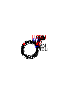 CC(C)(C)C=C(C#N)C(=O)N1CCCCCCCCCCCCCCCCCCCCCCCCCCCC[C@@H]2C[C@@H]2[C@H]1COC(=O)N[C@@H](Cc1ccccc1)B(O)O